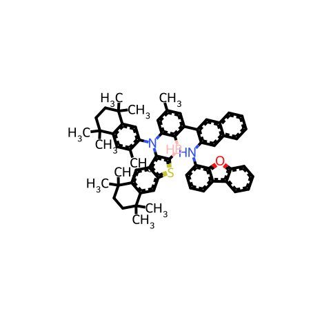 Cc1cc(-c2cc3ccccc3cc2Nc2cccc3c2oc2ccccc23)c2c(c1)N(c1cc3c(cc1C)C(C)(C)CCC3(C)C)c1c(sc3cc4c(cc13)C(C)(C)CCC4(C)C)B2